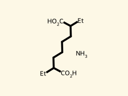 CCC(CCCCC(CC)C(=O)O)C(=O)O.N